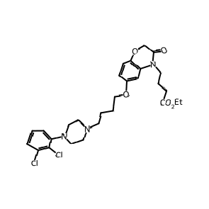 CCOC(=O)CCCN1C(=O)COc2ccc(OCCCCN3CCN(c4cccc(Cl)c4Cl)CC3)cc21